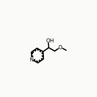 COCC(O)c1ccncc1